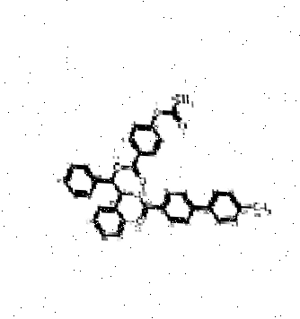 CC(=O)Oc1ccc(C(=O)OC(c2ccccc2)C(OC(=O)c2ccc(-c3ccc(C)cc3)cc2)c2ccccc2)cc1